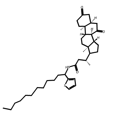 CCCCCCCCCCCC(NC(=O)C[C@@H](C)C1CC[C@H]2[C@@H]3C(=O)C[C@@H]4CC(=O)CC[C@]4(C)[C@H]3CC[C@]12C)c1cccs1